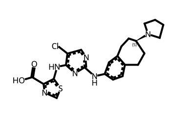 O=C(O)c1ncsc1Nc1nc(Nc2ccc3c(c2)CC[C@@H](N2CCCC2)CC3)ncc1Cl